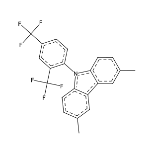 Cc1ccc2c(c1)c1cc(C)ccc1n2-c1ccc(C(F)(F)F)cc1C(F)(F)F